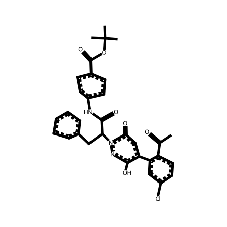 CC(=O)c1ccc(Cl)cc1-c1cc(=O)n(C(Cc2ccccc2)C(=O)Nc2ccc(C(=O)OC(C)(C)C)cc2)nc1O